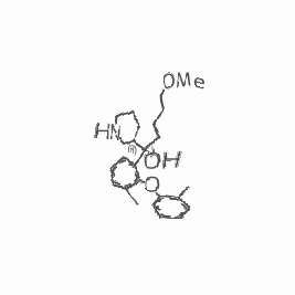 COCCCC[C@@](O)(c1cccc(C)c1Oc1ccccc1C)[C@@H]1CCCNC1